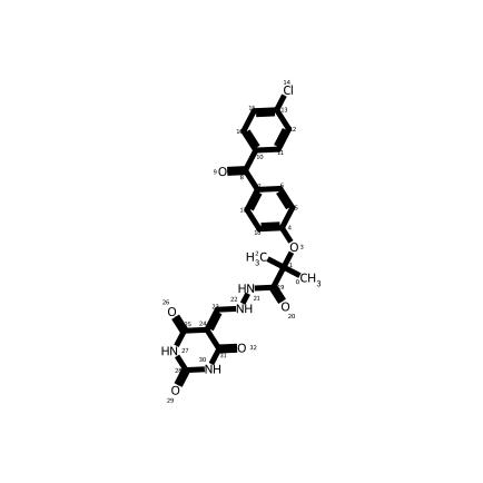 CC(C)(Oc1ccc(C(=O)c2ccc(Cl)cc2)cc1)C(=O)NNC=C1C(=O)NC(=O)NC1=O